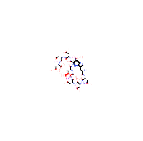 N[C@@H](Cc1c[nH]c2ccccc12)C(=O)N[C@@H](CC(=O)O)C(=O)N[C@@H](CC(=O)O)C(=O)N[C@@H](CC(=O)O)C(=O)N[C@@H](CC(=O)O)C(=O)N[C@@H](CC(=O)O)C(=O)N[C@@H](CC(=O)O)C(=O)N[C@@H](CC(=O)O)C(=O)N[C@@H](CC(=O)O)C(=O)N[C@@H](CC(=O)O)C(=O)O